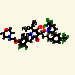 CC(C)C1C(O)=C(C(=O)CCCc2ccc(C(F)(F)F)cc2-c2ccc(C(F)(F)F)nc2)C(=O)N(Cc2ccc(OCCN3CCOCC3)c(F)c2F)N1C